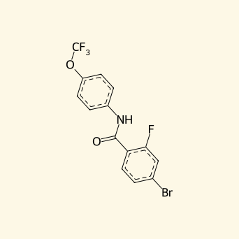 O=C(Nc1ccc(OC(F)(F)F)cc1)c1ccc(Br)cc1F